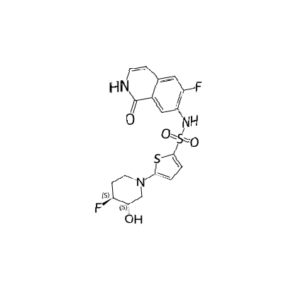 O=c1[nH]ccc2cc(F)c(NS(=O)(=O)c3ccc(N4CC[C@H](F)[C@@H](O)C4)s3)cc12